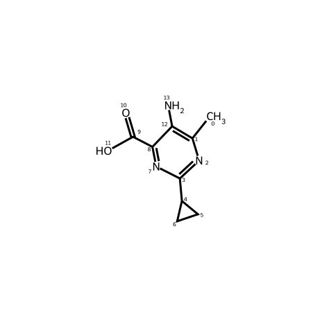 Cc1nc(C2CC2)nc(C(=O)O)c1N